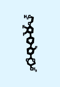 C/C=C\Oc1ccc(-c2ccc(-c3ccc(C4OCC(C)CO4)cc3F)cc2)c(F)c1F